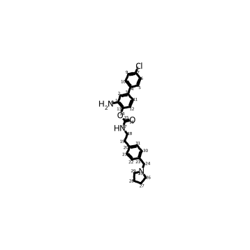 Nc1cc(-c2ccc(Cl)cc2)ccc1OC(=O)NCCc1ccc(CN2CCCC2)cc1